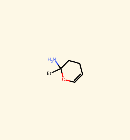 CCC1(N)CCC=CO1